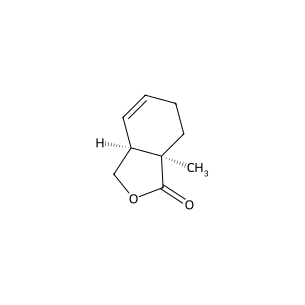 C[C@@]12CCC=C[C@@H]1COC2=O